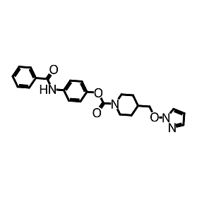 O=C(Nc1ccc(OC(=O)N2CCC(COn3cccn3)CC2)cc1)c1ccccc1